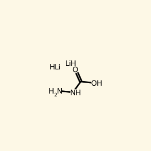 NNC(=O)O.[LiH].[LiH]